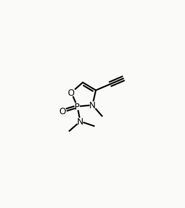 C#CC1=COP(=O)(N(C)C)N1C